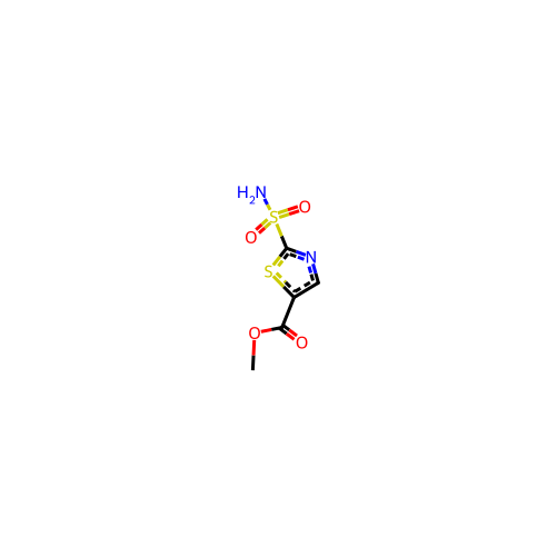 COC(=O)c1cnc(S(N)(=O)=O)s1